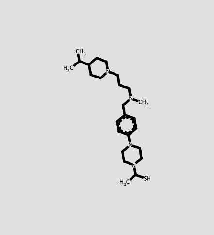 CC(C)C1CCN(CCCN(C)Cc2ccc(N3CCN(C(C)S)CC3)cc2)CC1